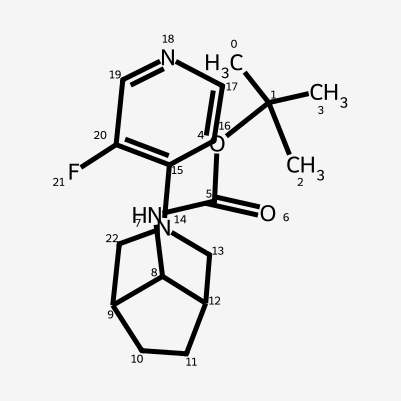 CC(C)(C)OC(=O)NC1C2CCC1CN(c1ccncc1F)C2